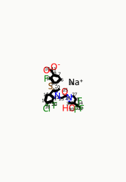 Cc1c(Sc2cccc(C(=O)[O-])c2F)c2ccc(Cl)c(F)c2n1CC(=O)N1CCC(O)(C(F)(F)F)C1.[Na+]